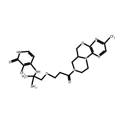 CC([SiH3])(COCCC(=O)N1CCN2c3ncc(C(F)(F)F)nc3OCC2C1)Nc1cc[nH]c(=O)c1C(F)(F)F